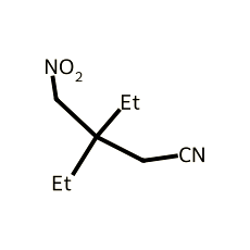 CCC(CC)(CC#N)C[N+](=O)[O-]